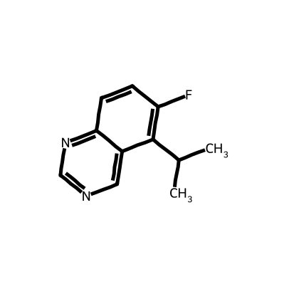 CC(C)c1c(F)ccc2ncncc12